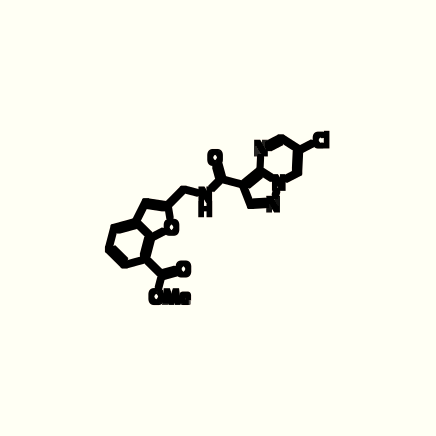 COC(=O)c1cccc2cc(CNC(=O)c3cnn4cc(Cl)cnc34)oc12